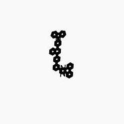 c1cc(-c2ccc(-c3ccc(-c4ccc(-n5c6ccccc6c6ccccc65)cc4)c4ccccc34)cc2)cc(-c2cnc3c4ccccc4c4ccccc4c3n2)c1